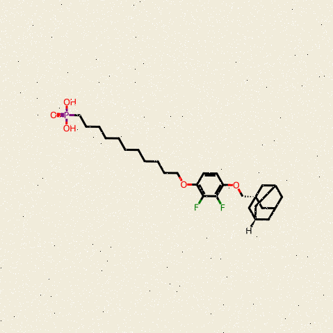 O=P(O)(O)CCCCCCCCCCCOc1ccc(OC[C@]23CC4CC(C[C@H](C4)C2)C3)c(F)c1F